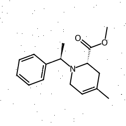 COC(=O)[C@@H]1CC(C)=CCN1[C@H](C)c1ccccc1